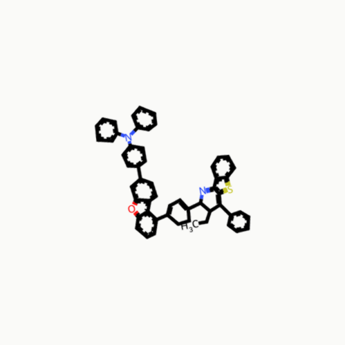 CCC1C(c2ccccc2)=c2sc3ccccc3c2=NC1C1=CC=C(c2cccc3oc4cc(-c5ccc(N(c6ccccc6)c6ccccc6)cc5)ccc4c23)CC1